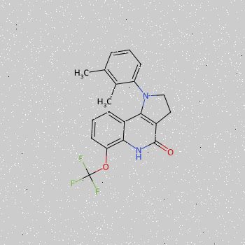 Cc1cccc(N2CCc3c2c2cccc(OC(F)(F)F)c2[nH]c3=O)c1C